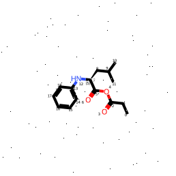 CCC(=O)OC(=O)[C@H](CC(C)C)Nc1ccccc1